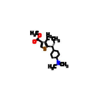 CC[C@@H](c1scc(C(=O)OC)c1C)C1CCC(N(C)C)CC1